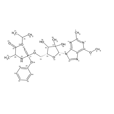 COc1nc(C)nc2c1ncn2[C@@H]1O[C@H](COP(=S)(NC(C)C(=O)OC(C)C)Oc2ccccc2)C(O)C1(C)O